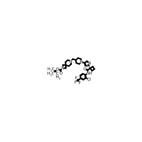 CC(C)(C)OC(=O)N1CC2(CCN(CC3CCN(c4cnn(C5(C(=O)Nc6ccc(C(F)(F)F)cc6Cl)CCC5)c4)CC3)CC2)C1